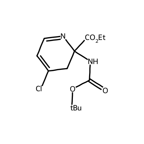 CCOC(=O)C1(NC(=O)OC(C)(C)C)CC(Cl)=CC=N1